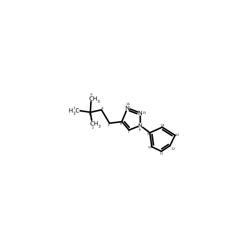 CC(C)(C)CCc1cn(-c2ccccc2)nn1